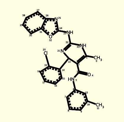 CC1=C(C(=O)Nc2cccc(C)c2)C(c2ccccc2Cl)N=C(Nc2nc3ccccc3o2)N1